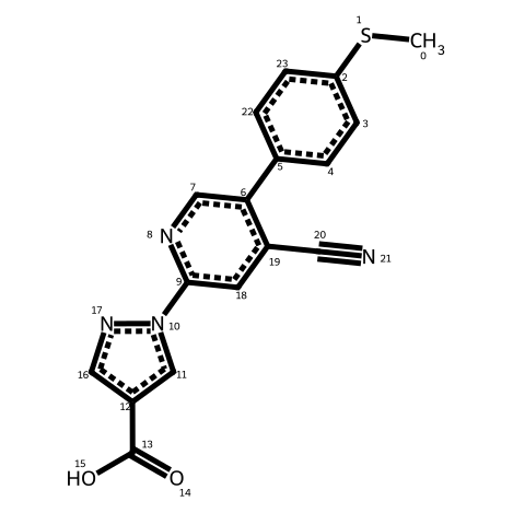 CSc1ccc(-c2cnc(-n3cc(C(=O)O)cn3)cc2C#N)cc1